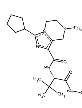 CNC(=O)[C@@H](NC(=O)c1nc(C2CCCC2)n2c1CN(C)CC2)C(C)(C)C